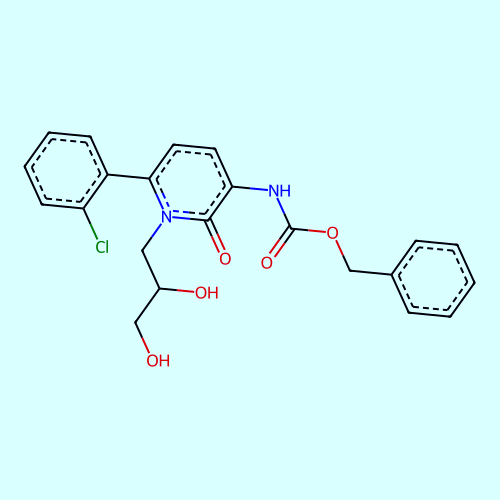 O=C(Nc1ccc(-c2ccccc2Cl)n(CC(O)CO)c1=O)OCc1ccccc1